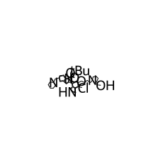 CC(C)(C)OC(=O)n1c(-c2cc(OCCCN3CCC[C@H]3CO)c(Cl)c3c[nH]cc23)cc2cc(CN3CCCCC3)ccc21